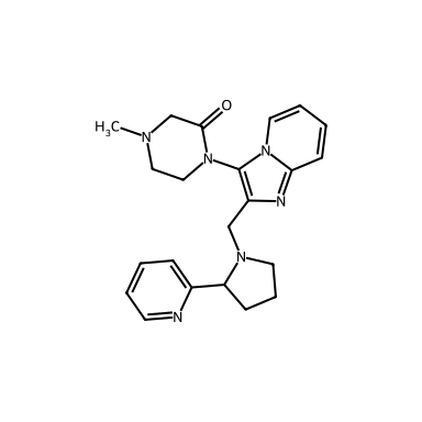 CN1CCN(c2c(CN3CCCC3c3ccccn3)nc3ccccn23)C(=O)C1